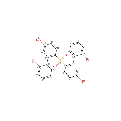 O=S(=O)(c1ccc(O)cc1-c1ccccc1Br)c1ccc(O)cc1-c1ccccc1Br